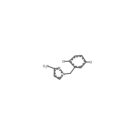 O=[N+]([O-])c1ccn(Cc2cc(Cl)ccc2Cl)n1